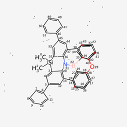 C[Si]1(C)c2cc(-c3ccccc3)cc(-c3ccccc3)c2N(B2c3ccccc3Oc3ccccc32)c2c(-c3ccccc3)cc(-c3ccccc3)cc21